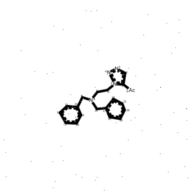 CC(=O)c1cnnn1CCN(Cc1ccccc1)Cc1ccccc1